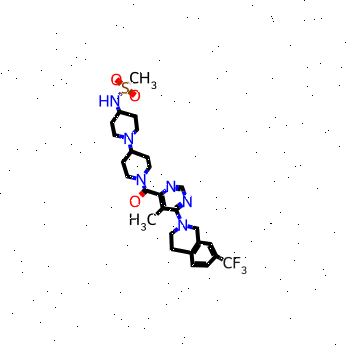 Cc1c(C(=O)N2CCC(N3CCC(NS(C)(=O)=O)CC3)CC2)ncnc1N1CCc2ccc(C(F)(F)F)cc2C1